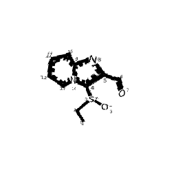 CC[S+]([O-])c1c(C=O)nc2ccccn12